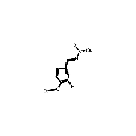 CCOc1ccc(C=N[S+]([O-])C(C)(C)C)cc1Br